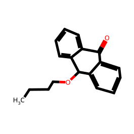 CCCCOC1c2ccccc2C(=O)c2ccccc21